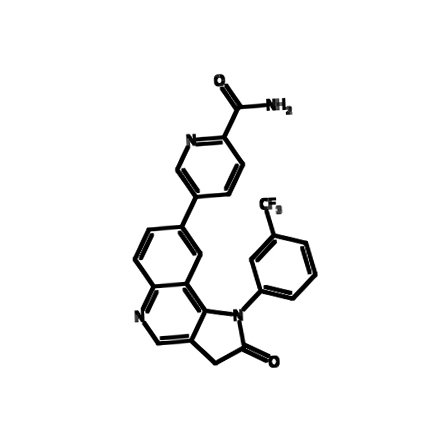 NC(=O)c1ccc(-c2ccc3ncc4c(c3c2)N(c2cccc(C(F)(F)F)c2)C(=O)C4)cn1